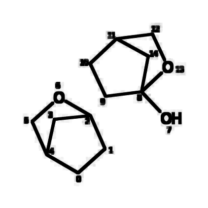 C1CC2CC1CO2.OC12CCC(CO1)C2